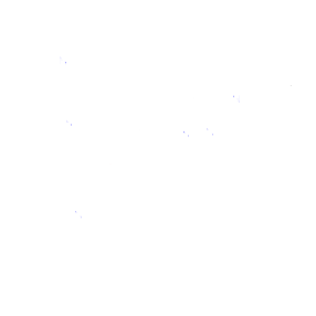 N#Cc1cc(-c2ccn3nc(NC(=O)C4CC4)cc3c2)c(OC2CN(CC(F)(F)F)C2)cn1